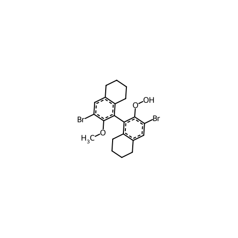 COc1c(Br)cc2c(c1-c1c3c(cc(Br)c1OO)CCCC3)CCCC2